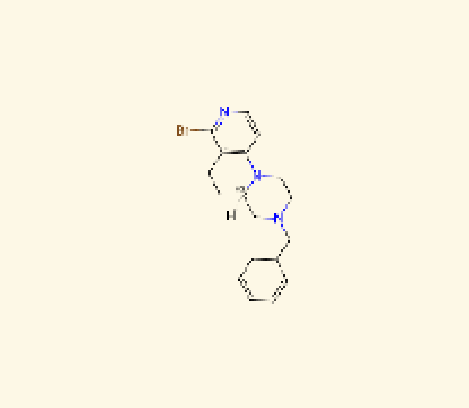 Brc1nccc2c1CC[C@@H]1CN(Cc3ccccc3)CCN21